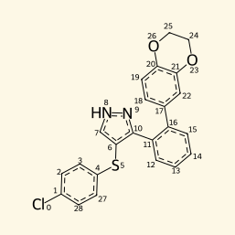 Clc1ccc(Sc2c[nH]nc2-c2ccccc2-c2ccc3c(c2)OCCO3)cc1